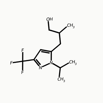 CC(CO)Cc1cc(C(F)(F)F)nn1C(C)C